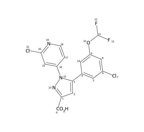 O=C(O)c1cc(-c2cc(Cl)cc(OC(F)F)c2)n(-c2ccnc(Cl)c2)n1